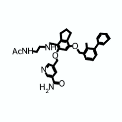 CC(=O)NCCNCc1c(OCc2cncc(C(N)=O)c2)cc(OCc2cccc(-c3ccccc3)c2C)c2c1CCC2